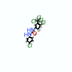 O=C(Nc1ccc(Cl)cc1)Nc1ccc(Cl)c(C(Cl)(Cl)Cl)c1